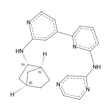 c1cc(Nc2cnccn2)nc(-c2ccnc(N[C@H]3C[C@@H]4CC[C@H]3C4)c2)c1